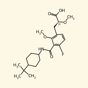 COc1c(C[C@H](OC)C(=O)O)ccc(F)c1C(=O)NC1CCC(C(C)(C)C)CC1